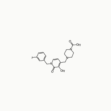 O=C(O)N1CCN(Cc2ccn(Cc3cccc(I)c3)c(=O)c2O)CC1